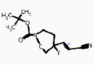 CC(C)(C)OC(=O)N1CCC(F)(/C=C/C#N)CC1